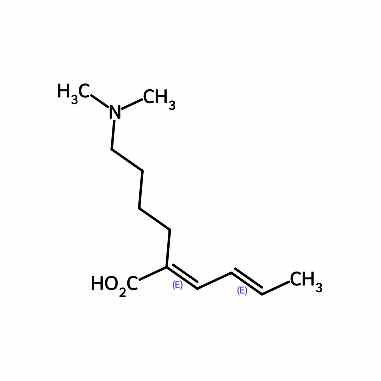 C/C=C/C=C(\CCCCN(C)C)C(=O)O